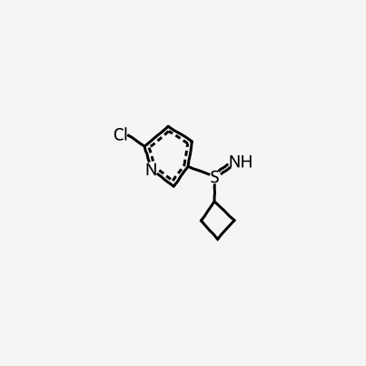 N=S(c1ccc(Cl)nc1)C1CCC1